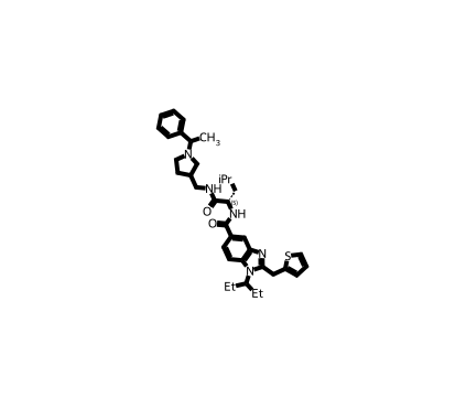 CCC(CC)n1c(Cc2cccs2)nc2cc(C(=O)N[C@@H](CC(C)C)C(=O)NCC3CCN(C(C)c4ccccc4)C3)ccc21